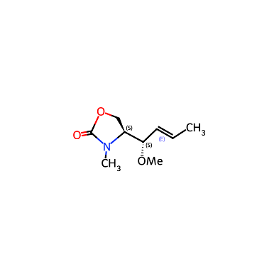 C/C=C/[C@H](OC)[C@@H]1COC(=O)N1C